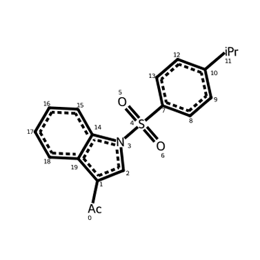 CC(=O)c1cn(S(=O)(=O)c2ccc(C(C)C)cc2)c2ccccc12